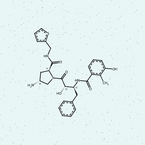 Cc1c(O)cccc1C(=O)N[C@@H](Cc1ccccc1)[C@H](O)C(=O)N1C[C@H](N)C[C@H]1C(=O)NCc1cccs1